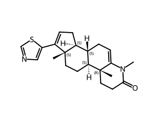 CN1C(=O)CC[C@@]2(C)C1=CC[C@@H]1[C@@H]2CC[C@]2(C)C(c3cncs3)=CC[C@@H]12